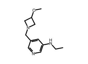 CCNc1cncc(CN2CC(OC)C2)c1